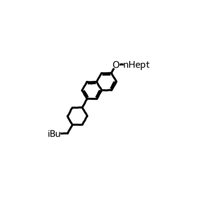 CCCCCCCOc1ccc2cc(C3CCC(CC(C)CC)CC3)ccc2c1